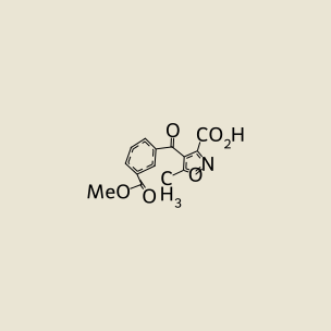 COC(=O)c1cccc(C(=O)c2c(C(=O)O)noc2C)c1